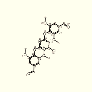 COc1cc(C=O)cc(OC)c1Oc1nc(Cl)nc(Oc2c(OC)cc(C=O)cc2OC)n1